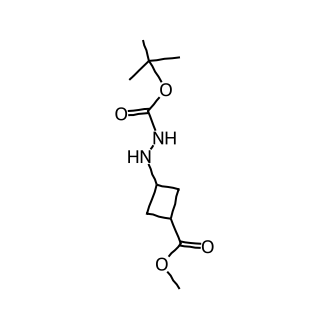 COC(=O)C1CC(NNC(=O)OC(C)(C)C)C1